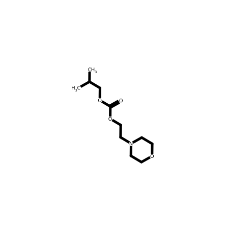 CC(C)COC(=O)OCCN1CCOCC1